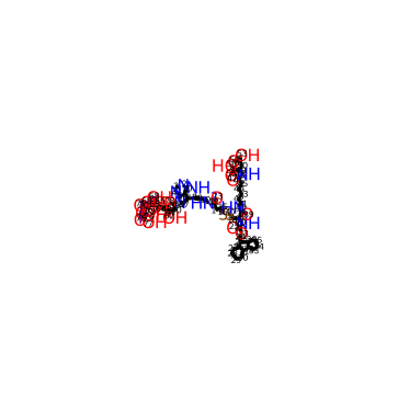 Nc1ncnc2c1c(C#CCNC(=O)CCSSCC(NC(=O)OCC1c3ccccc3-c3ccccc31)C(=O)NCCCCCC(=O)NC(CC(=O)O)C(=O)O)cn2C1CC(O)C(COP(=O)(O)OP(=O)(O)OP(=O)(O)O)O1